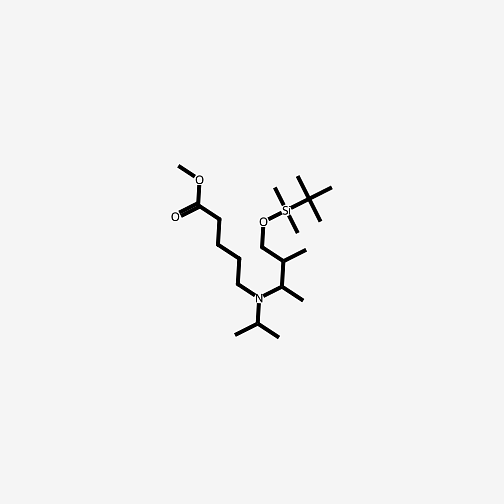 COC(=O)CCCCN(C(C)C)C(C)C(C)CO[Si](C)(C)C(C)(C)C